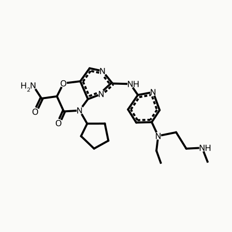 CCN(CCNC)c1ccc(Nc2ncc3c(n2)N(C2CCCC2)C(=O)C(C(N)=O)O3)nc1